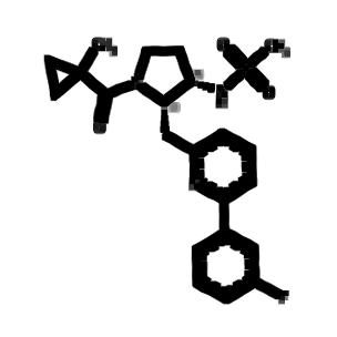 CC1(C(=O)N2CC[C@H](NS(C)(=O)=O)[C@@H]2Cc2cccc(-c3cccc(F)c3)n2)CC1